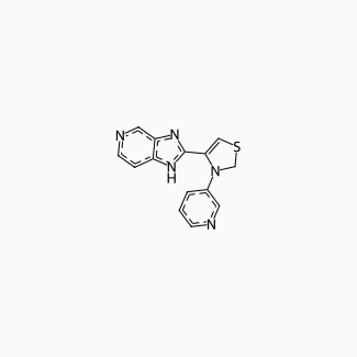 C1=C(c2nc3cnccc3[nH]2)N(c2cccnc2)CS1